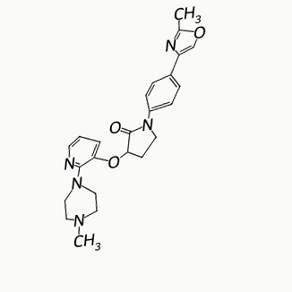 Cc1nc(-c2ccc(N3CCC(Oc4cccnc4N4CCN(C)CC4)C3=O)cc2)co1